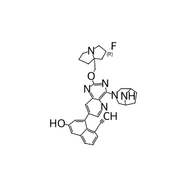 C#Cc1cccc2cc(O)cc(-c3cnc4c(N5CC6CCC(C5)N6)nc(OCC56CCCN5C[C@H](F)C6)nc4c3)c12